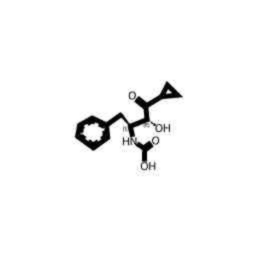 O=C(O)N[C@@H](Cc1ccccc1)[C@@H](O)C(=O)C1CC1